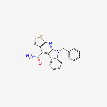 NC(=O)c1c2ccsc2nc2c1c1ccccc1n2Cc1ccccc1